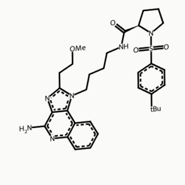 COCCc1nc2c(N)nc3ccccc3c2n1CCCCNC(=O)[C@H]1CCCN1S(=O)(=O)c1ccc(C(C)(C)C)cc1